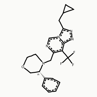 FC(F)(F)c1c(CN2CCOC[C@H]2c2ccccc2)ncn2c(CC3CC3)nnc12